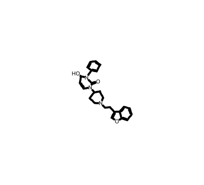 O=C1N(C2CCN(CCc3coc4ccccc34)CC2)C=CC(O)N1c1ccccc1